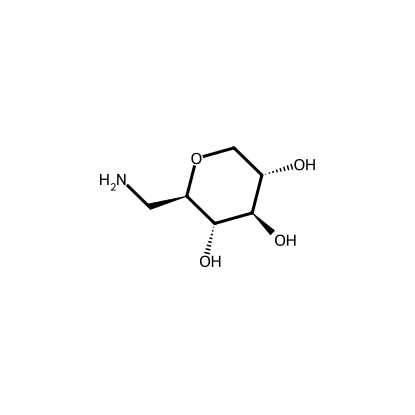 NC[C@H]1OC[C@H](O)[C@@H](O)[C@@H]1O